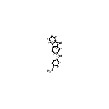 Nc1ccc(Nc2ccc3c(c2)[nH]c2ccccc23)cc1